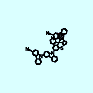 N#Cc1ccc2c(c1)c1ccccc1n2-c1ccc2c(c1)c1ccccc1n2-c1ccc2c(c1)Sc1cccc(-n3c4ccccc4c4cc(C#N)ccc43)c1C21c2cccnc2-c2ncccc21